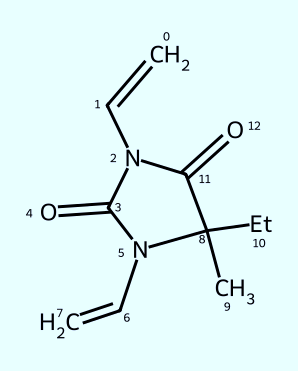 C=CN1C(=O)N(C=C)C(C)(CC)C1=O